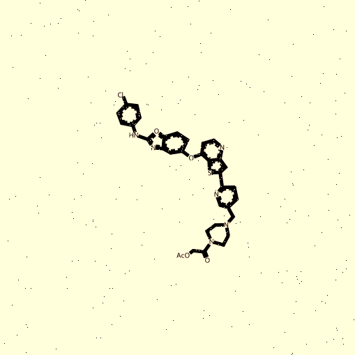 CC(=O)OCC(=O)N1CCN(Cc2ccc(-c3cc4nccc(Oc5ccc6oc(Nc7ccc(Cl)cc7)nc6c5)c4s3)nc2)CC1